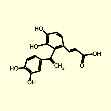 C=C(c1ccc(O)c(O)c1)c1c(C=CC(=O)O)ccc(O)c1O